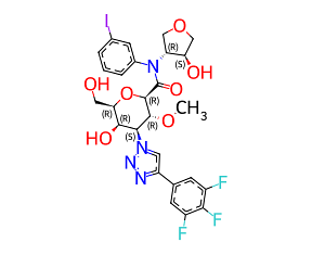 CO[C@@H]1[C@@H](n2cc(-c3cc(F)c(F)c(F)c3)nn2)[C@@H](O)[C@@H](CO)O[C@H]1C(=O)N(c1cccc(I)c1)[C@@H]1COC[C@H]1O